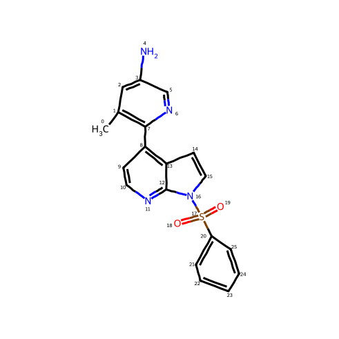 Cc1cc(N)cnc1-c1ccnc2c1ccn2S(=O)(=O)c1ccccc1